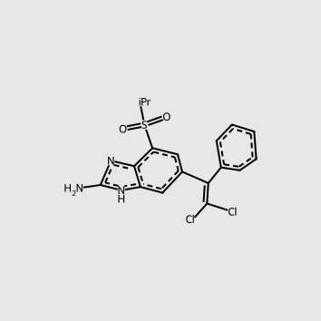 CC(C)S(=O)(=O)c1cc(C(=C(Cl)Cl)c2ccccc2)cc2[nH]c(N)nc12